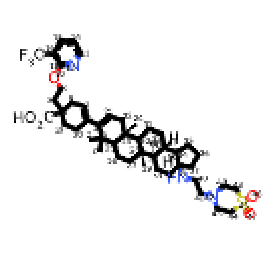 CC1(C)C(C2=CCC(CCOc3ncccc3C(F)(F)F)(C(=O)O)CC2)=CC[C@@]2(C)C1CC[C@]1(C)C2CC[C@@H]2[C@H]3CCC[C@]3(NCCN3CCS(=O)(=O)CC3)CC[C@]21C